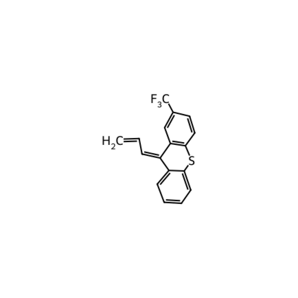 C=C/C=C1/c2ccccc2Sc2ccc(C(F)(F)F)cc21